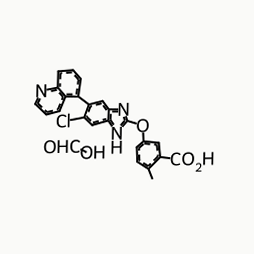 Cc1ccc(Oc2nc3cc(-c4cccc5ncccc45)c(Cl)cc3[nH]2)cc1C(=O)O.O=CO